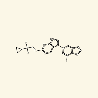 Fc1cc(-c2c[nH]c3nc(NCC(F)(F)C4CC4)ncc23)cn2ncnc12